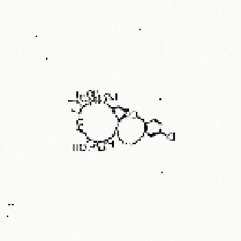 CC(C)[C@@H]1[C@H](C)C/C=C/[C@H](O)[C@@H]2CC[C@H]2CN2CCCCc3cc(Cl)ccc3COc3ccc(cc32)C(O)NS1(=O)=O